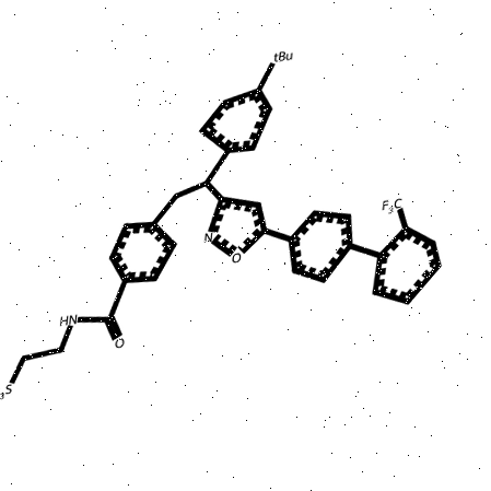 CC(C)(C)c1ccc(C(Cc2ccc(C(=O)NCCS(=O)(=O)O)cc2)c2cc(-c3ccc(-c4ccccc4C(F)(F)F)cc3)on2)cc1